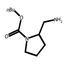 CCCCOC(=O)N1CCCC1CN